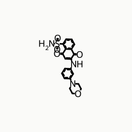 NS(=O)(=O)c1cccc2c1C(=O)C=C(Nc1cccc(N3CCOCC3)c1)C2=O